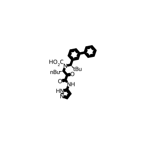 CCCC[C@@H](C(=O)C(=O)Nc1ccn[nH]1)N(C(=O)O)[C@H](c1cccc(-c2ccccc2)c1)C(C)(C)C